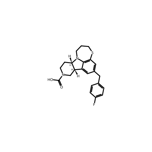 O=C(O)N1CC[C@H]2[C@@H](C1)c1cc(Cc3ccc(F)cc3)cc3c1N2CCCS3